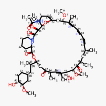 CO[C@H]1C[C@@H]2CC[C@@H](C)[C@@](NC(C)=O)(O2)C(=O)C(=O)N2CCCCC2C(=O)O[C@H]([C@H](C)C[C@@H]2CC[C@@H](O)[C@H](OC)C2)CC(=O)[C@H](C)/C=C(\C)[C@@H](O)[C@@H](OC)C(=O)[C@H](C)C[C@H](C)/C=C/C=C/C=C/1C